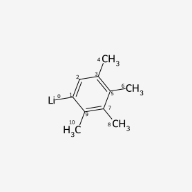 [Li][c]1cc(C)c(C)c(C)c1C